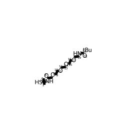 CC(C)(S)NC(=O)COCCOCCOCCOCCNC(=O)C(C)(C)C